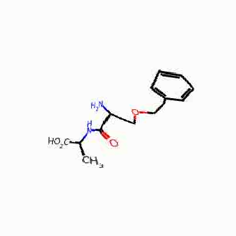 CC(NC(=O)C(N)COCc1ccccc1)C(=O)O